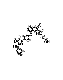 COc1cc2nccc(Oc3ccc(NC(=O)C4(C(=O)Nc5ccc(F)cc5)CC4)cc3)c2cc1C(=O)NOCCO